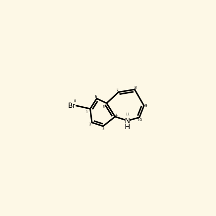 Brc1ccc2c(c1)C=CC=CN2